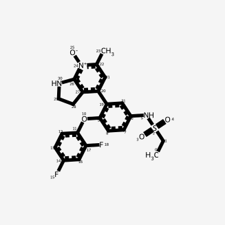 CCS(=O)(=O)Nc1ccc(Oc2ccc(F)cc2F)c(-c2cc(C)[n+]([O-])c3c2CCN3)c1